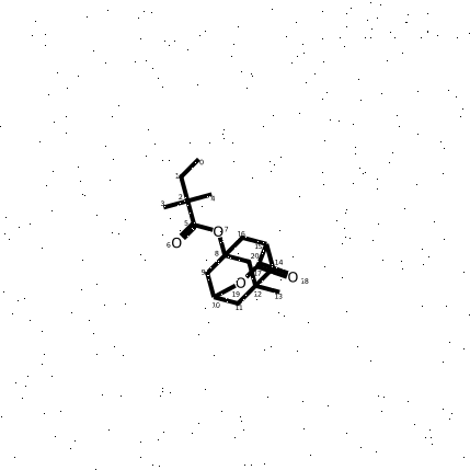 CCC(C)(C)C(=O)OC12CC3CC(C)(CC(C1)C(=O)O3)C2